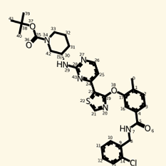 Cc1ccc(C(=O)NCc2ccccc2Cl)cc1Oc1ncsc1-c1ccnc(N[C@H]2CCCN(C(=O)OC(C)(C)C)C2)n1